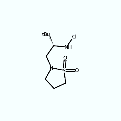 CC(C)(C)[C@@H](CN1CCCS1(=O)=O)NCl